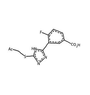 CC(=O)CSc1nnc(-c2cc(C(=O)O)ccc2F)[nH]1